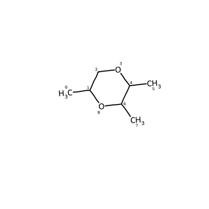 CC1COC(C)C(C)O1